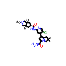 CC(=O)N1C[C@H]2C[C@H](C(=O)Nc3cc(-c4cc(C(N)=O)n5c4CC(C)(C)C5)c(Cl)cn3)C[C@H]2C1